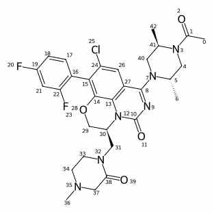 CC(=O)N1C[C@H](C)N(c2nc(=O)n3c4c(c(-c5ccc(F)cc5F)c(Cl)cc24)OC[C@@H]3CN2CCN(C)CC2=O)C[C@H]1C